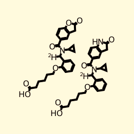 [2H]C(c1ccccc1OCCCCCC(=O)O)N(C(=O)c1ccc2c(c1)CC(=O)N2)C1CC1.[2H]C(c1ccccc1OCCCCCC(=O)O)N(C(=O)c1ccc2c(c1)CC(=O)O2)C1CC1